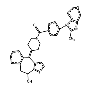 Cc1nc2cnccc2n1-c1ccc(C(=O)N2CCC(=C3c4ccccc4CC(O)c4sccc43)CC2)cc1